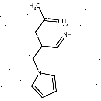 C=C(C)CC(C=N)Cn1cccc1